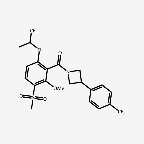 COc1c(S(C)(=O)=O)ccc(OC(C)C(F)(F)F)c1C(=O)N1CC(c2ccc(C(F)(F)F)cc2)C1